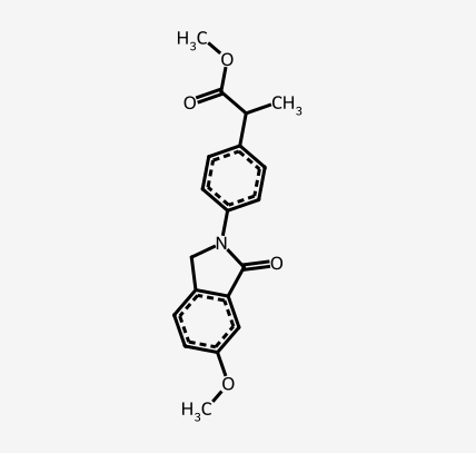 COC(=O)C(C)c1ccc(N2Cc3ccc(OC)cc3C2=O)cc1